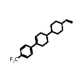 C=CC1CCC(C2CC=C(c3ccc(C(F)(F)F)cc3)CC2)CC1